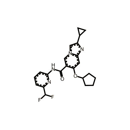 O=C(Nc1cccc(C(F)F)n1)c1cn2cc(C3CC3)nc2cc1OC1CCCC1